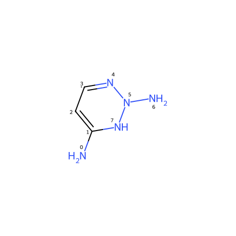 NC1=C[C]=NN(N)N1